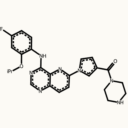 CC(C)Oc1cc(F)ccc1Nc1ncnc2ccc(-n3ccc(C(=O)N4CCNCC4)c3)nc12